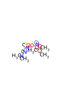 Cc1cc(C)c(S(=O)(=O)N2CCCCC2COCC(=O)N2CCn3c(CN(C)C)ccc3C2c2cccs2)c(C)c1